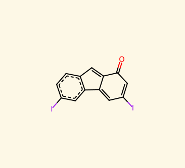 O=C1C=C(I)C=C2C1=Cc1ccc(I)cc12